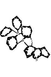 c1ccc([Si]2(c3ccccc3)c3ccccc3B3c4ccc5sc6ccccc6c5c4Sc4cccc2c43)cc1